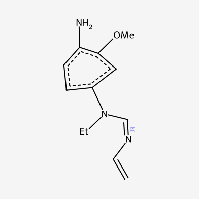 C=C/N=C\N(CC)c1ccc(N)c(OC)c1